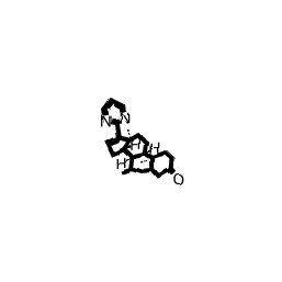 CC1CC2CC(=O)CC[C@]2(C)[C@@H]2CC[C@]3(C)C(c4ncccn4)=CC[C@H]3[C@H]12